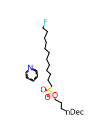 CCCCCCCCCCCCCOS(=O)(=O)CCCCCCCCCCCCF.c1ccncc1